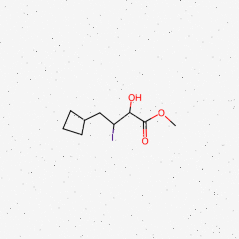 COC(=O)C(O)C(I)CC1CCC1